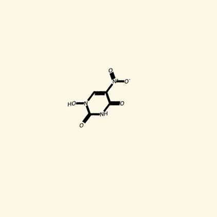 O=c1[nH]c(=O)n(O)cc1[N+](=O)[O-]